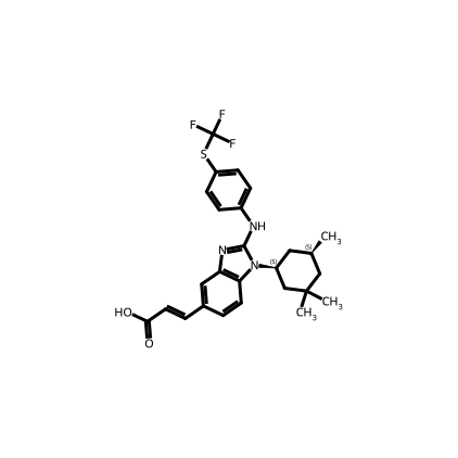 C[C@@H]1C[C@H](n2c(Nc3ccc(SC(F)(F)F)cc3)nc3cc(C=CC(=O)O)ccc32)CC(C)(C)C1